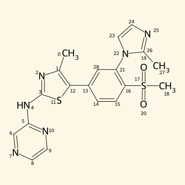 Cc1nc(Nc2cnccn2)sc1-c1ccc(S(C)(=O)=O)c(-n2ccnc2C)c1